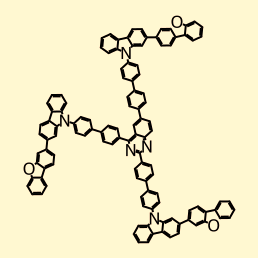 c1ccc2c(c1)oc1cc(-c3ccc4c5ccccc5n(-c5ccc(-c6ccc(-c7ccc8nc(-c9ccc(-c%10ccc(-n%11c%12ccccc%12c%12ccc(-c%13ccc%14c(c%13)oc%13ccccc%13%14)cc%12%11)cc%10)cc9)nc(-c9ccc(-c%10ccc(-n%11c%12ccccc%12c%12ccc(-c%13ccc%14c(c%13)oc%13ccccc%13%14)cc%12%11)cc%10)cc9)c8c7)cc6)cc5)c4c3)ccc12